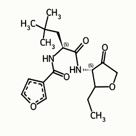 CCC1OCC(=O)[C@H]1NC(=O)[C@H](CC(C)(C)C)NC(=O)c1ccoc1